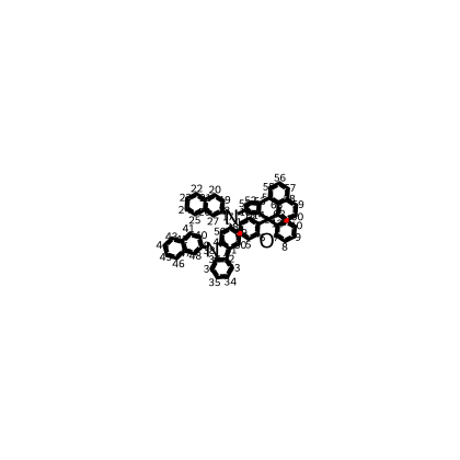 c1ccc2c(c1)Oc1ccccc1C21c2cc(N(c3ccc4ccccc4c3)c3ccc4c5ccccc5n(-c5ccc6ccccc6c5)c4c3)ccc2-c2cccc3cccc1c23